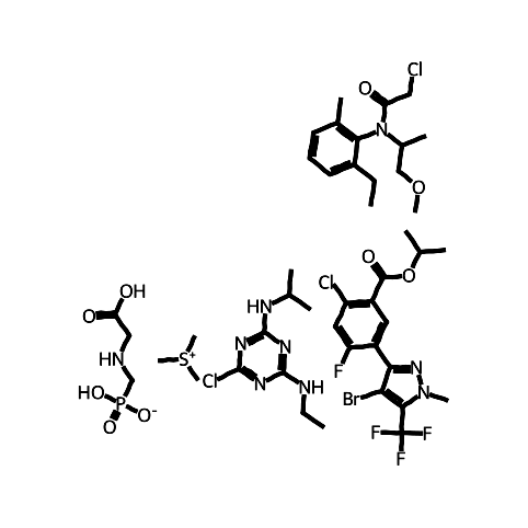 CC(C)OC(=O)c1cc(-c2nn(C)c(C(F)(F)F)c2Br)c(F)cc1Cl.CCNc1nc(Cl)nc(NC(C)C)n1.CCc1cccc(C)c1N(C(=O)CCl)C(C)COC.C[S+](C)C.O=C(O)CNCP(=O)([O-])O